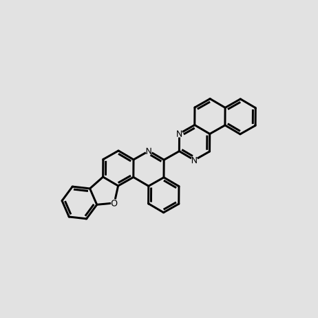 c1ccc2c(c1)ccc1nc(-c3nc4ccc5c6ccccc6oc5c4c4ccccc34)ncc12